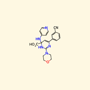 N#Cc1cccc(C2=CC(Nc3ccncc3)(C(=O)O)NC(N3CCOCC3)=N2)c1